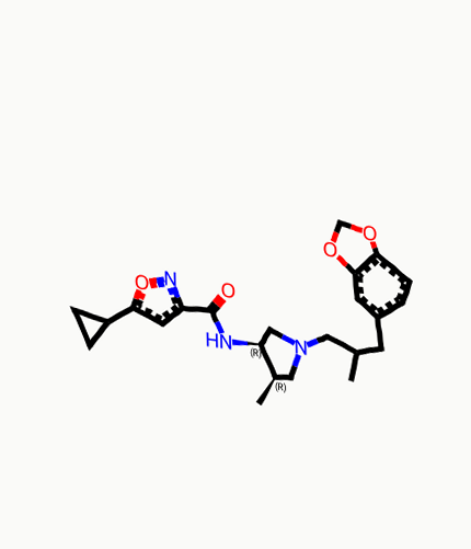 CC(Cc1ccc2c(c1)OCO2)CN1C[C@@H](C)[C@@H](NC(=O)c2cc(C3CC3)on2)C1